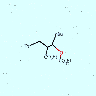 CCCCC(OC(=O)OCC)C(CC(C)C)C(=O)OCC